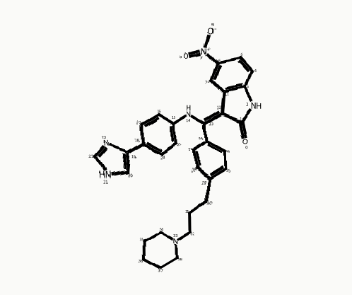 O=C1Nc2ccc([N+](=O)[O-])cc2C1=C(Nc1ccc(-c2c[nH]cn2)cc1)c1ccc(CCCN2CCCCC2)cc1